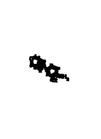 CCc1cc(N2CC3COCC(C2)N3)ccc1N